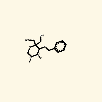 C[C@H]1COC(CO)(CO)C(OCc2ccccc2)[C@H]1F